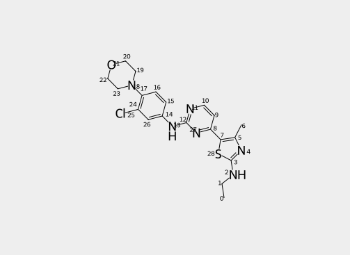 CCNc1nc(C)c(-c2ccnc(Nc3ccc(N4CCOCC4)c(Cl)c3)n2)s1